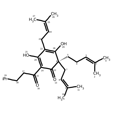 CC(C)=CCC[C@]1(CC=C(C)C)C(=O)C(C(=O)CCC(C)C)=C(O)C(CC=C(C)C)=C1O